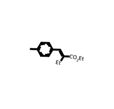 CCOC(=O)C(=Cc1ccc(C)cc1)CC